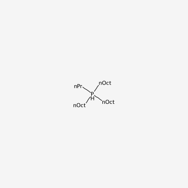 CCCCCCCC[PH](CCC)(CCCCCCCC)CCCCCCCC